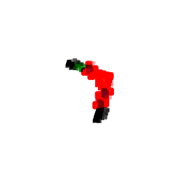 O.O.O.O.O.O=P([O-])([O-])[O-].O=P([O-])([O-])[O-].O=P([O-])([O-])[O-].[Al+3].[Al+3].[Al+3].[Al+3].[Al+3].[F-].[F-].[F-].[OH-].[OH-].[OH-]